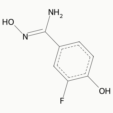 NC(=NO)c1ccc(O)c(F)c1